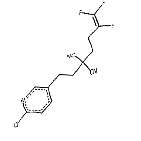 N#CC(C#N)(CCC(F)=C(F)F)CCc1ccc(Cl)nc1